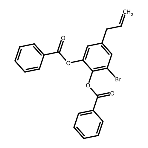 C=CCc1cc(Br)c(OC(=O)c2ccccc2)c(OC(=O)c2ccccc2)c1